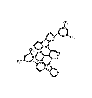 Cc1cc(-c2ccc3c4ccccc4n(-c4cncc(-n5c6ccccc6c6ccc(-c7cc(C(F)(F)F)cc(C(F)(F)F)c7)cc65)c4-c4ccccc4C#N)c3c2)cc(C(F)(F)F)c1